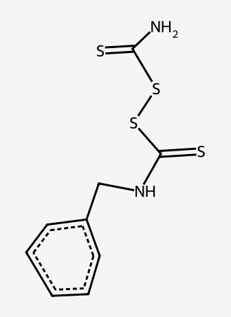 NC(=S)SSC(=S)NCc1ccccc1